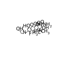 CN(C)[C@@H]1C(O)=C(C(N)=O)C(=O)[C@@]2(O)C(O)=C3C(=O)c4c(O)cc(CN5CCC(CO)CC5)c(F)c4C[C@H]3C[C@@H]12